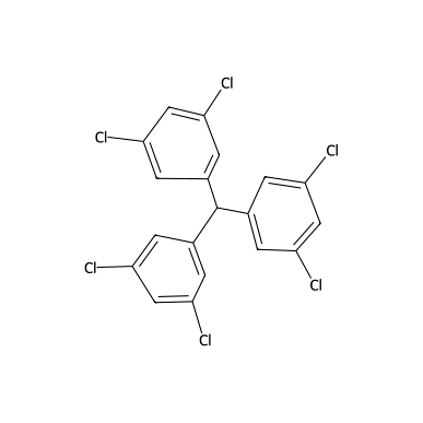 Clc1cc(Cl)cc(C(c2cc(Cl)cc(Cl)c2)c2cc(Cl)cc(Cl)c2)c1